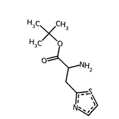 CC(C)(C)OC(=O)C(N)Cc1nccs1